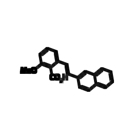 COc1cccc(C=Cc2ccc3ccccc3c2)c1C(=O)O